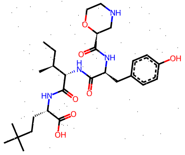 CC[C@H](C)[C@H](NC(=O)[C@H](Cc1ccc(O)cc1)NC(=O)[C@@H]1CNCCO1)C(=O)N[C@@H](CCC(C)(C)C)C(=O)O